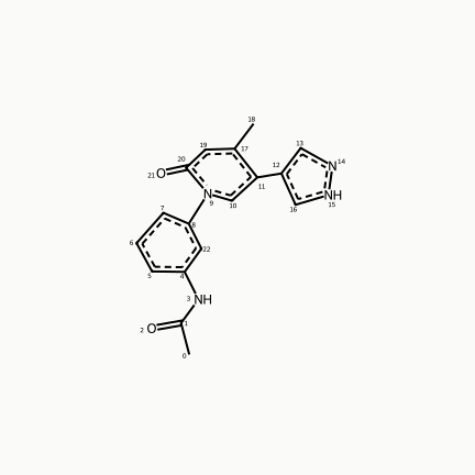 CC(=O)Nc1cccc(-n2cc(-c3cn[nH]c3)c(C)cc2=O)c1